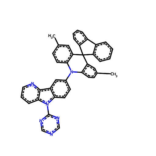 Cc1ccc2c(c1)C1(c3ccccc3-c3ccccc31)c1cc(C)ccc1N2c1ccc2c(c1)c1ncccc1n2-c1ncncn1